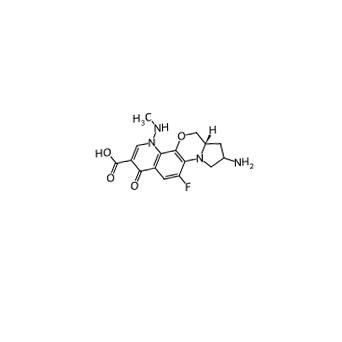 CNn1cc(C(=O)O)c(=O)c2cc(F)c3c(c21)OC[C@@H]1CC(N)CN31